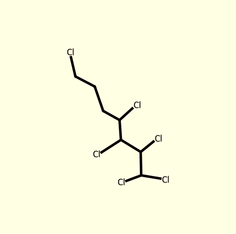 ClCCCC(Cl)C(Cl)C(Cl)C(Cl)Cl